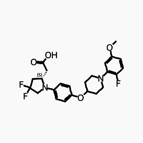 COc1ccc(F)c(N2CCC(Oc3ccc(N4CC(F)(F)C[C@@H]4CC(=O)O)cc3)CC2)c1